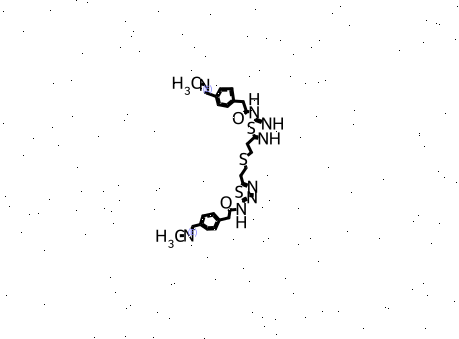 C/N=C/c1ccc(CC(=O)NC(=N)SC(=N)CCSCCc2nnc(NC(=O)Cc3ccc(/C=N/C)cc3)s2)cc1